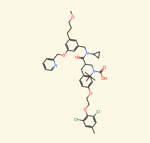 COCCCc1cc(CN(C(=O)C(Cc2ccc(OCCOc3c(Cl)cc(C)cc3Cl)cc2)CN(C(=O)O)C(C)(C)C)C2CC2)cc(OCc2ccccn2)c1